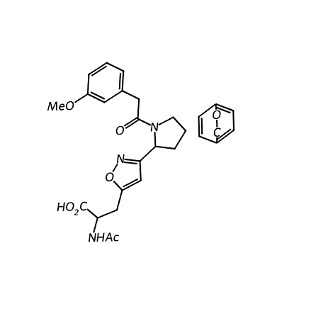 COc1cccc(CC(=O)N2CCCC2c2cc(CC(NC(C)=O)C(=O)O)on2)c1.c1cc2ccc1CO2